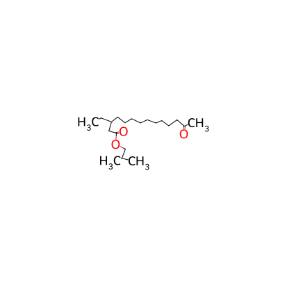 CCC(CCCCCCCCCC(C)=O)CC(=O)OCC(C)C